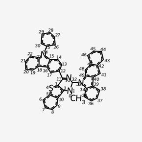 CN1c2c(sc3ccccc23)C(c2ccc3c(c2)c2ccccc2n3-c2ccccc2)=NC1n1c2ccccc2c2cc3ccccc3cc21